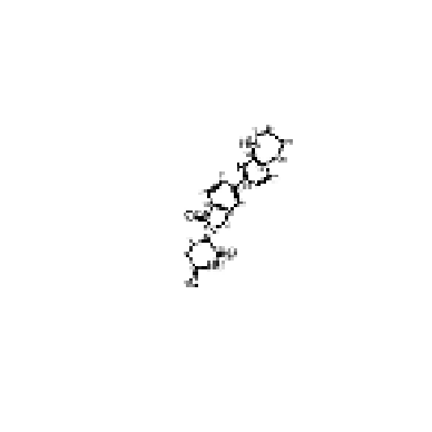 O=C1CCC(N2Cc3cc(-c4ccc5c(n4)NCCCC5)ccc3C2=O)C(=O)N1